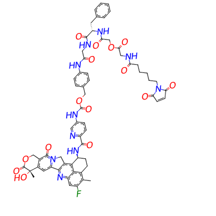 Cc1c(F)cc2nc3c(c4c2c1CC[C@@H]4NC(=O)c1ccc(NC(=O)OCc2ccc(NC(=O)CNC(=O)[C@H](Cc4ccccc4)NC(=O)COC(=O)CNC(=O)CCCCCN4C(=O)C=CC4=O)cc2)cn1)Cn1c-3cc2c(c1=O)COC(=O)[C@@]2(C)O